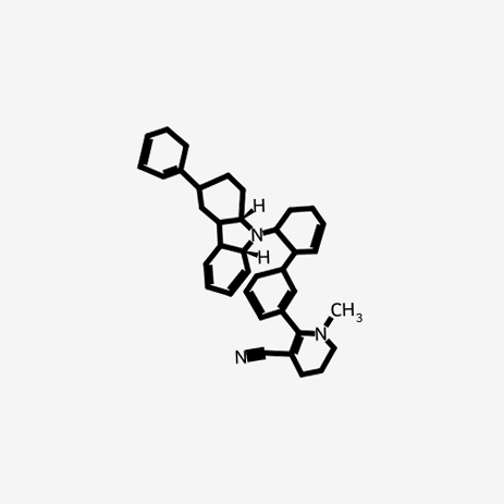 CN1CCCC(C#N)=C1C1=CC(C2C=CCCC2N2[C@@H]3C=CC=CC3C3CC(C4=CC=CCC4)CC[C@@H]32)CC=C1